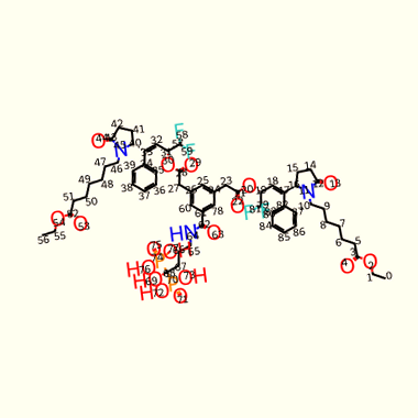 CCOC(=O)CCCCCCN1C(=O)CC[C@@H]1/C(=C/[C@@H](OC(=O)Cc1cc(CC(=O)O[C@H](/C=C(\c2ccccc2)[C@H]2CCC(=O)N2CCCCCCC(=O)OCC)C(F)F)cc(C(=O)NCCCC(O)(P(=O)(O)O)P(=O)(O)O)c1)C(F)F)c1ccccc1